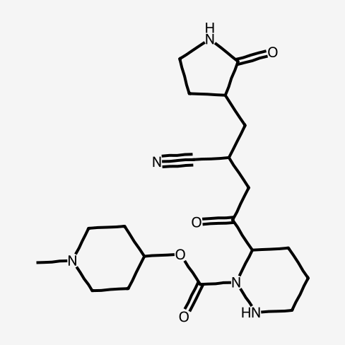 CN1CCC(OC(=O)N2NCCCC2C(=O)CC(C#N)CC2CCNC2=O)CC1